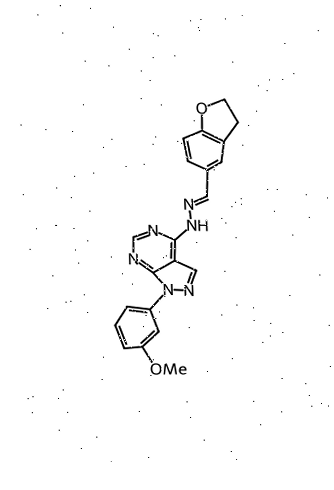 COc1cccc(-n2ncc3c(N/N=C/c4ccc5c(c4)CCO5)ncnc32)c1